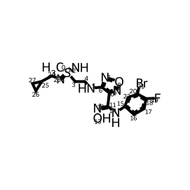 CS(=N)(CCNc1nonc1/C(=N/O)Nc1ccc(F)c(Br)c1)=NCC1CC1